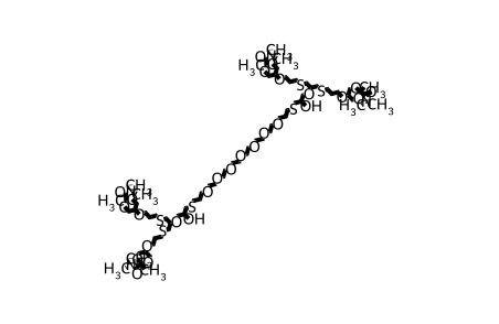 CN(C)C(=O)C1(C)OCC(OCCCSCC(CSCCCOC2COC(C)(C(=O)N(C)C)OC2)OCC(O)CSCCCOCCOCCOCCOCCOCCOCCOCCCSCC(O)COC(CSCCCOC2COC(C)(C(=O)N(C)C)OC2)CSCCCOC2COC(C)(C(=O)N(C)C)OC2)CO1